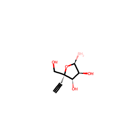 B[C@@H]1O[C@](C#C)(CO)[C@@H](O)[C@@H]1O